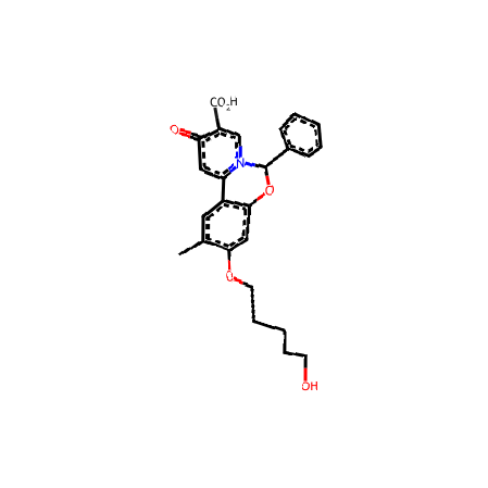 Cc1cc2c(cc1OCCCCCO)OC(c1ccccc1)n1cc(C(=O)O)c(=O)cc1-2